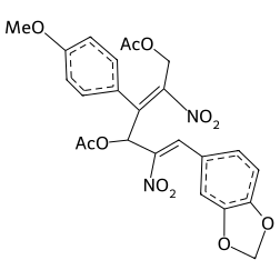 COc1ccc(C(=C(COC(C)=O)[N+](=O)[O-])C(OC(C)=O)C(=Cc2ccc3c(c2)OCO3)[N+](=O)[O-])cc1